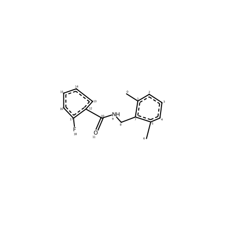 Cc1cccc(C)c1CNC(=O)c1ccccc1F